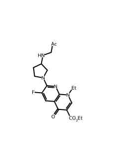 CCOC(=O)c1cn(CC)c2nc(N3CCC(NCC(C)=O)C3)c(F)cc2c1=O